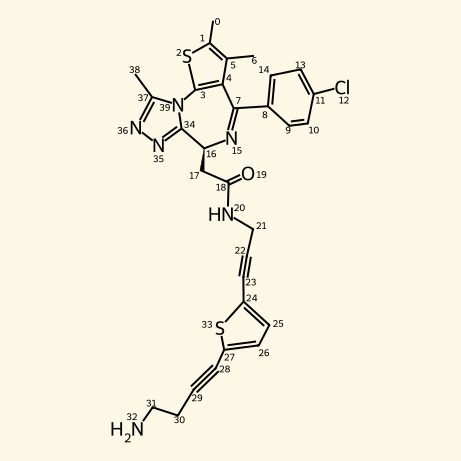 Cc1sc2c(c1C)C(c1ccc(Cl)cc1)=N[C@@H](CC(=O)NCC#Cc1ccc(C#CCCN)s1)c1nnc(C)n1-2